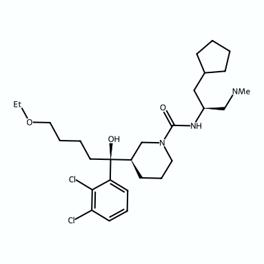 CCOCCCC[C@@](O)(c1cccc(Cl)c1Cl)[C@@H]1CCCN(C(=O)N[C@H](CNC)CC2CCCC2)C1